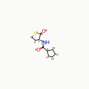 O=C(N[C@H]1CCSC1=O)C1CCCC1